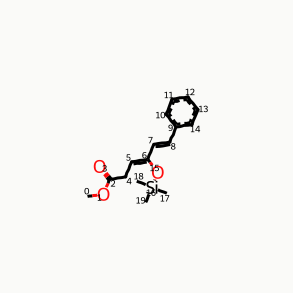 COC(=O)CC=C(C=Cc1ccccc1)O[Si](C)(C)C